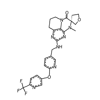 CN1c2nc(NCc3ccc(Oc4ccc(C(F)(F)F)nc4)nc3)nc3c2N(CCC3)C(=O)[C@]12CCOC2